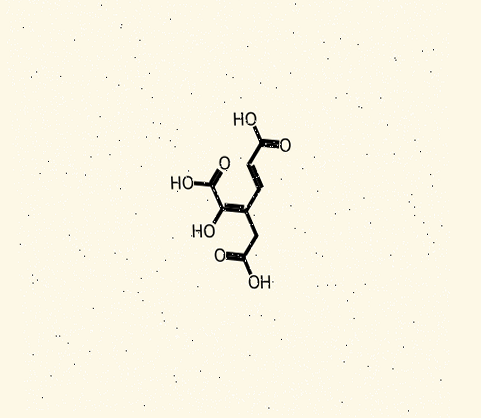 O=C(O)C=CC(CC(=O)O)=C(O)C(=O)O